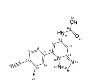 N#Cc1ccc(-c2cc(NC(=O)O)cc3ncnn23)cc1F